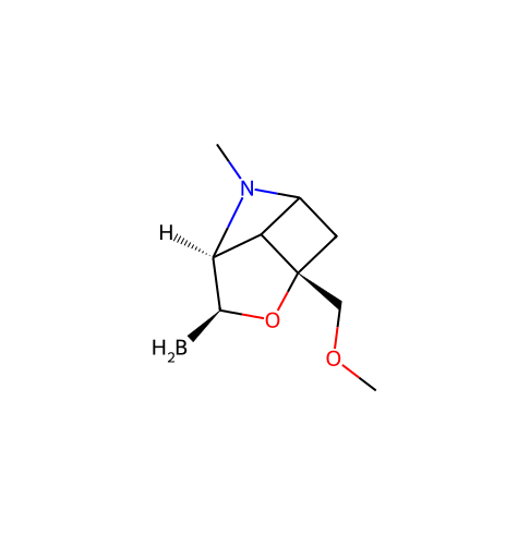 B[C@@H]1O[C@@]2(COC)CC3C2[C@@H]1N3C